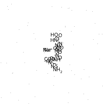 Cn1c(-c2cc(=O)c(O)c[nH]2)nn(S(=O)(=O)[N-]C(=O)N2C[C@H](NC(=O)/C(=N\OC(C)(C)C(=O)[O-])c3csc(N)n3)C2=O)c1=O.[Na+].[Na+]